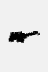 CCCCCCCCC1C[C@]1(NC(=O)[C@@H]1CCCN1C(=O)CNC(=O)NC(CN1CCc2ccccc2S1(=O)=O)C(C)(C)C)C(=O)O